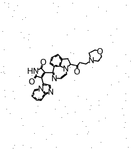 O=C1NC(=O)C(c2cnc3ccccn23)=C1C1=NC=CN2c3c(cccc31)CC2C(=O)CCN1CCOCC1